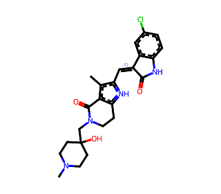 Cc1c(/C=C2\C(=O)Nc3ccc(Cl)cc32)[nH]c2c1C(=O)N(CC1(O)CCN(C)CC1)CC2